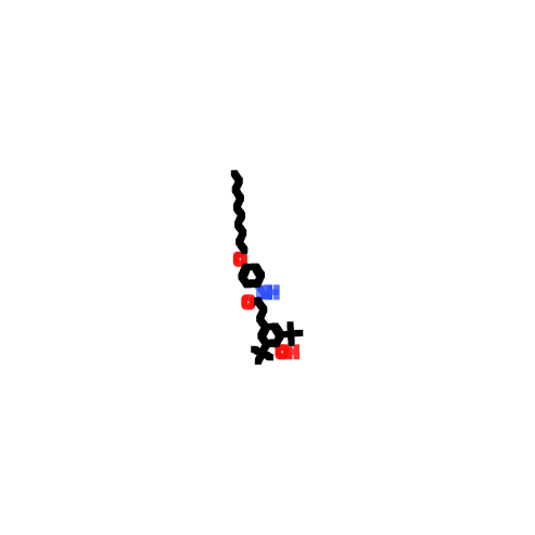 CCCCCCCCCCOc1ccc(NC(=O)CCc2cc(C(C)(C)C)c(O)c(C(C)(C)C)c2)cc1